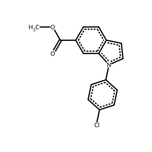 COC(=O)c1ccc2ccn(-c3ccc(Cl)cc3)c2c1